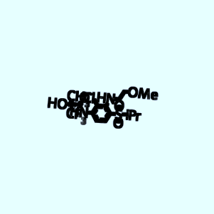 COCCNc1c(S(=O)(=O)C(C)C)ccc(NC(=O)[C@@](C)(O)C(F)(F)F)c1Cl